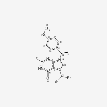 Cc1nc2c(c(C(F)F)nn2[C@H](C)c2ccc(SC(F)(F)F)cc2)c(=O)[nH]1